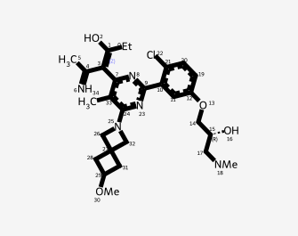 CC/C(O)=C(/C(C)=N)c1nc(-c2cc(OC[C@H](O)CNC)ccc2Cl)nc(N2CC3(CC(OC)C3)C2)c1C